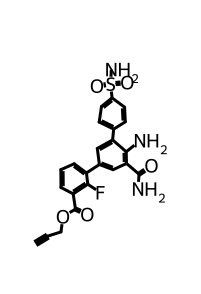 C#CCOC(=O)c1cccc(-c2cc(C(N)=O)c(N)c(-c3ccc(S(N)(=O)=O)cc3)c2)c1F